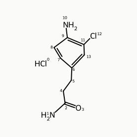 Cl.NC(=O)CCc1ccc(N)c(Cl)c1